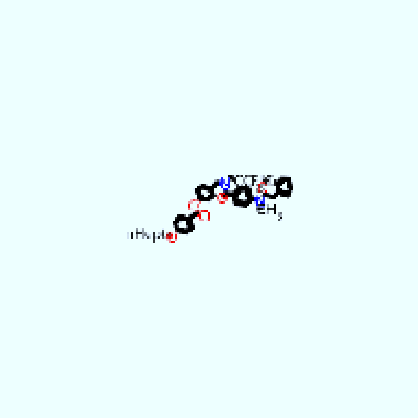 CCCCCCCOc1ccc(C(=O)Oc2ccc(CN(CC(=O)O)C(=O)c3ccc(N(C)C(=O)Cc4ccccc4C(F)(F)F)cc3)cc2)cc1